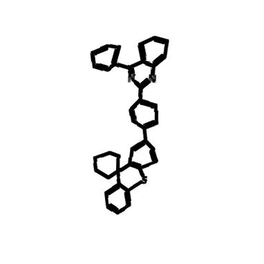 c1ccc(-c2nc(-c3ccc(-c4ccc5c(c4)C4(CCCCC4)c4ccccc4S5)cc3)nc3ccccc23)cc1